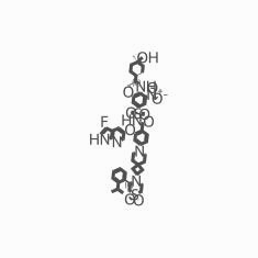 CC(C)c1ccccc1[C@@H]1CS(=O)(=O)CCN1C1CC2(CCN(c3ccc(C(=O)NS(=O)(=O)c4cc5c(c([N+](=O)[O-])c4)N[C@@H]([C@H]4CC[C@](C)(O)CC4)CO5)c(Oc4cnc5[nH]cc(F)c5c4)c3)CC2)C1